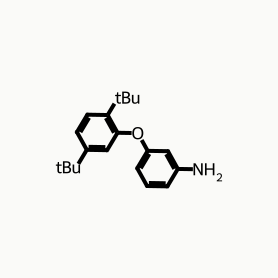 CC(C)(C)c1ccc(C(C)(C)C)c(Oc2cccc(N)c2)c1